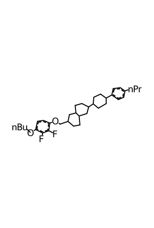 CCCCOc1ccc(OCC2CCC3CC(C4CCC(c5ccc(CCC)cc5)CC4)CCC3C2)c(F)c1F